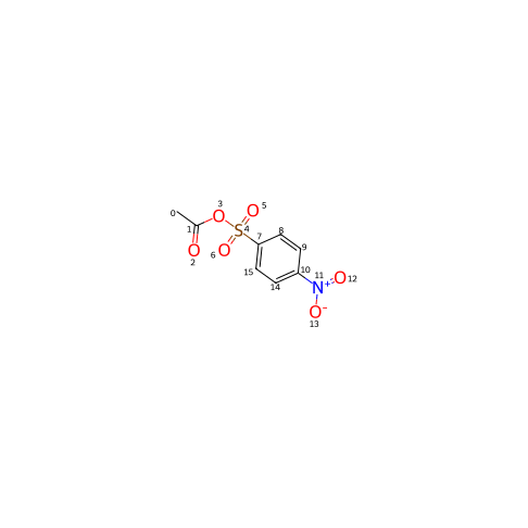 CC(=O)OS(=O)(=O)c1ccc([N+](=O)[O-])cc1